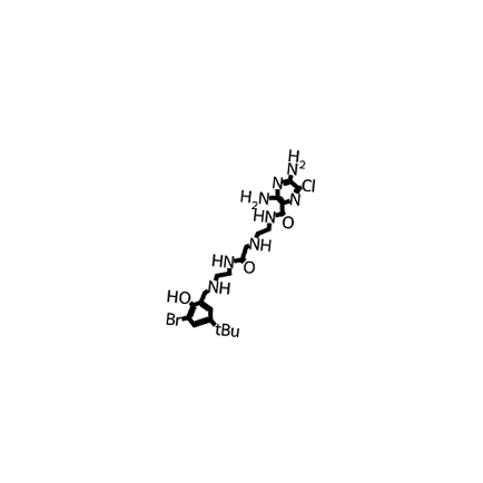 CC(C)(C)c1cc(Br)c(O)c(CNCCNC(=O)CNCCNC(=O)c2nc(Cl)c(N)nc2N)c1